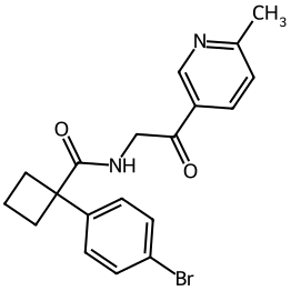 Cc1ccc(C(=O)CNC(=O)C2(c3ccc(Br)cc3)CCC2)cn1